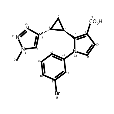 Cn1cc([C@@H]2C[C@H]2c2c(C(=O)O)ccn2-c2cccc(Br)c2)nn1